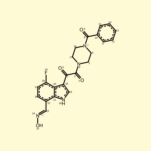 O=C(C(=O)N1CCN(C(=O)c2ccccc2)CC1)c1c[nH]c2c(/C=N/O)ccc(F)c12